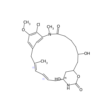 COc1cc2cc(c1Cl)N(C)C(=O)CCCC(O)CC1C[C@](O)(C/C=C/C=C(\C)C2)NC(=O)O1